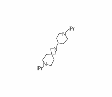 CC(C)N1CCC(N2CC3(CCN(C(C)C)CC3)C2)CC1